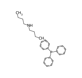 CCCCNCCCC.c1ccc(P(c2ccccc2)c2ccccc2)cc1